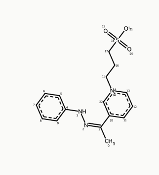 CC(=NNc1ccccc1)c1ccc[n+](CCCS(=O)(=O)[O-])c1